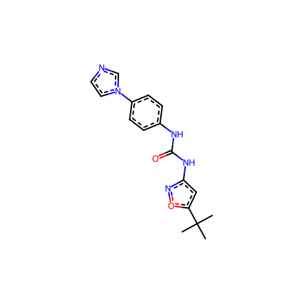 CC(C)(C)c1cc(NC(=O)Nc2ccc(-n3ccnc3)cc2)no1